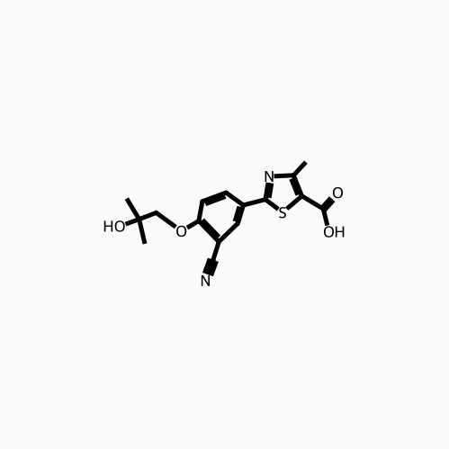 Cc1nc(-c2ccc(OCC(C)(C)O)c(C#N)c2)sc1C(=O)O